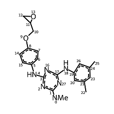 CNc1nc(Nc2ccc(OCC3CO3)cc2)nc(Nc2cc(C)cc(C)c2)n1